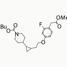 COC(=O)Cc1ccc(OCCC2CC2C2CCN(C(=O)OC(C)(C)C)CC2)cc1F